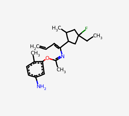 C=C/C=C(\N=C(\C)Oc1cc(N)ccc1C)C1CC(F)(CC)CC1C